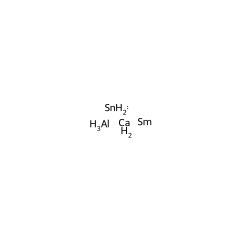 [AlH3].[CaH2].[Sm].[SnH2]